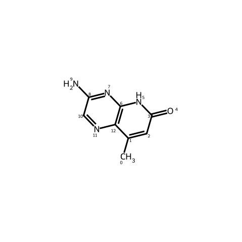 Cc1cc(=O)[nH]c2nc(N)cnc12